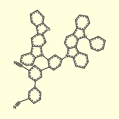 N#Cc1cccc(-c2cc(C#N)cc(-c3ccc(-n4c5ccccc5c5c4ccc4c6ccccc6n(-c6ccccc6)c45)cc3-n3c4ccccc4c4cc5c(cc43)sc3ccccc35)c2)c1